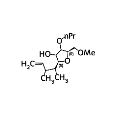 C=CC(C)C(C)[C@@H]1O[C@H](COC)C(OCCC)C1O